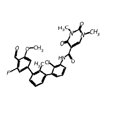 COc1cc(-c2cccc(-c3cccc(NC(=O)c4cn(C)c(=O)n(C)c4=O)c3Cl)c2C)cc(F)c1C=O